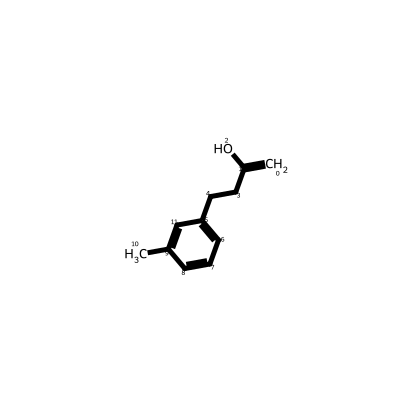 C=C(O)CCc1cccc(C)c1